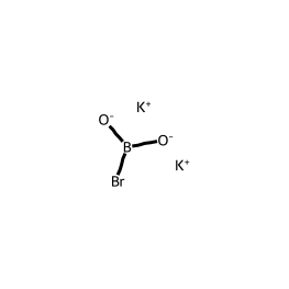 [K+].[K+].[O-]B([O-])Br